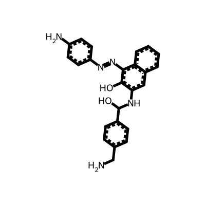 NCc1ccc(C(O)Nc2cc3ccccc3c(N=Nc3ccc(N)cc3)c2O)cc1